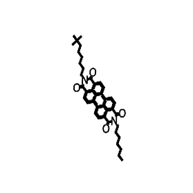 CCCCCCCN1C(=O)c2ccc3c4ccc5c6c(ccc(c7ccc(c2c37)C1=O)c64)C(=O)N(CCCCCCC(C)(C)C)C5=O